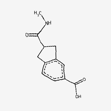 CNC(=O)C1Cc2ccc(C(=O)O)cc2C1